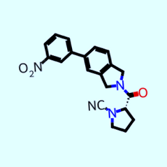 N#CN1CCC[C@H]1C(=O)N1Cc2ccc(-c3cccc([N+](=O)[O-])c3)cc2C1